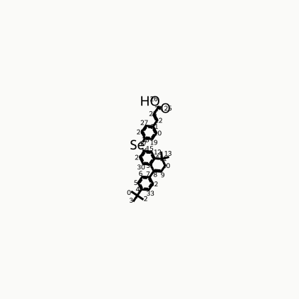 CC(C)(C)c1ccc(C2=CCC(C)(C)c3cc([Se]c4ccc(/C=C/C(=O)O)cc4)ccc32)cc1